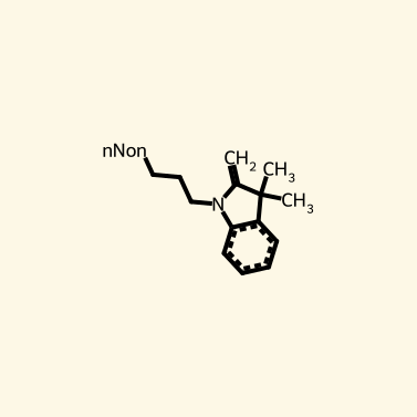 C=C1N(CCCCCCCCCCCC)c2ccccc2C1(C)C